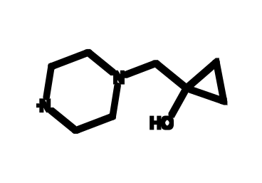 OC1(CN2CC[N]CC2)CC1